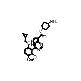 N[C@H]1CC[C@@H](NC(=O)c2c[nH]c3c(-c4c(OCC5CC5)ccc5c4OCO5)ncnc23)CC1